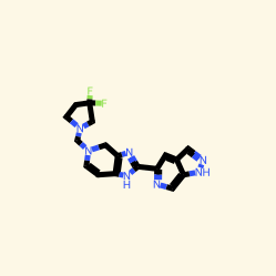 FC1(F)CCN(CN2C=Cc3[nH]c(-c4cc5cn[nH]c5cn4)nc3C2)C1